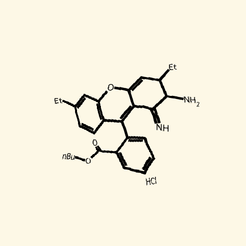 CCCCOC(=O)c1ccccc1C1=C2C(=N)C(N)C(CC)C=C2Oc2cc(CC)ccc21.Cl